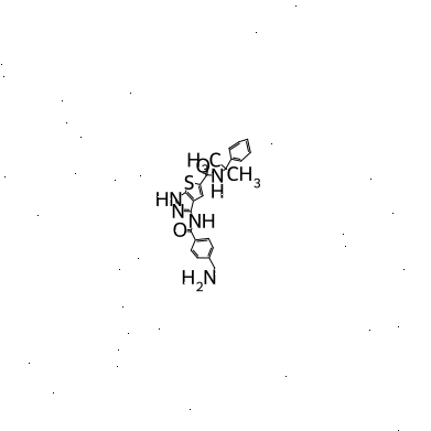 CC(C)(NC(=O)c1cc2c(NC(=O)c3ccc(CN)cc3)n[nH]c2s1)c1ccccc1